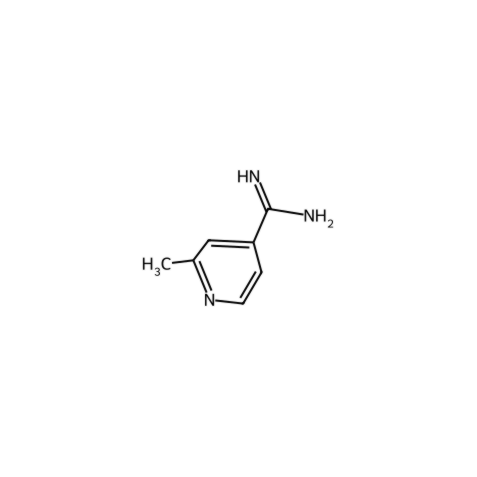 Cc1cc(C(=N)N)ccn1